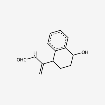 C=C(NC=O)C1CCC(O)c2ccccc21